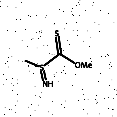 COC(=S)S(C)=N